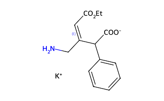 CCOC(=O)/C=C(/CN)C(C(=O)[O-])c1ccccc1.[K+]